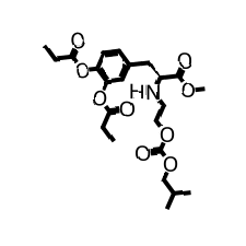 CCC(=O)Oc1ccc(C[C@H](NCCOC(=O)OCC(C)C)C(=O)OC)cc1OC(=O)CC